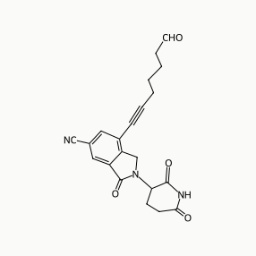 N#Cc1cc(C#CCCCCC=O)c2c(c1)C(=O)N(C1CCC(=O)NC1=O)C2